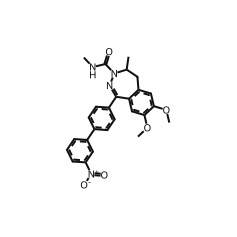 CNC(=O)N1N=C(c2ccc(-c3cccc([N+](=O)[O-])c3)cc2)c2cc(OC)c(OC)cc2CC1C